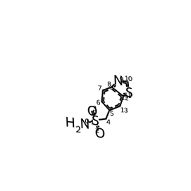 NS(=O)(=O)Cc1ccc2ncsc2c1